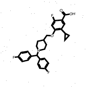 O=C(O)c1cc(C2CC2)c(OCC2CCN(C(c3ccc(F)cc3)c3ccc(F)cc3)CC2)cc1F